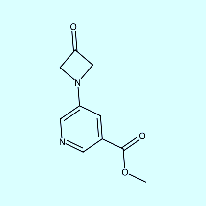 COC(=O)c1cncc(N2CC(=O)C2)c1